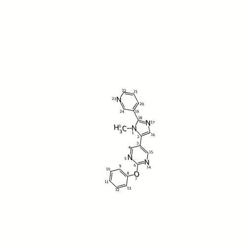 Cn1c(-c2cnc(Oc3ccccc3)nc2)cnc1-c1cccnc1